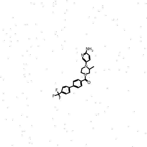 CC1CN(C(=O)c2ccc(-c3ccc(C(F)(F)F)cc3)cc2)CCN1c1ccc(N)nc1